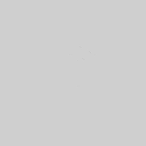 CCC=CCCc1cc(CC)c(C(=O)N=C(N)N)cc1S(C)(=O)=O